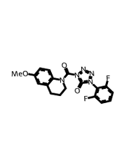 COc1ccc2c(c1)CCCN2C(=O)n1nnn(-c2c(F)cccc2F)c1=O